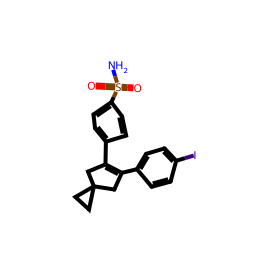 NS(=O)(=O)c1ccc(C2=C(c3ccc(I)cc3)CC3(CC3)C2)cc1